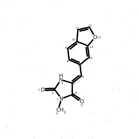 CN1C(=O)N/C(=C\c2ccc3ccoc3c2)C1=O